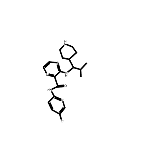 CC(C)C(Nc1nccnc1C(=O)Nc1ccc(Cl)cn1)C1CCNCC1